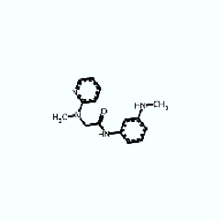 CNc1cccc(NC(=O)CN(C)c2ccccn2)c1